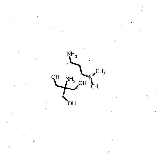 CN(C)CCCN.NC(CO)(CO)CO